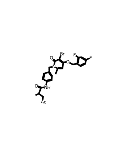 CC(=O)CC(C)C(=O)Nc1ccc(Cn2c(C)cc(OCc3ccc(F)cc3F)c(Br)c2=O)cc1